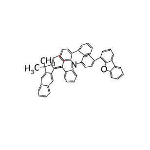 CC1(C)c2cc3ccccc3cc2-c2c(-c3ccccc3N(c3ccc(-c4cccc5c4oc4ccccc45)cc3)c3ccccc3-c3ccccc3)cccc21